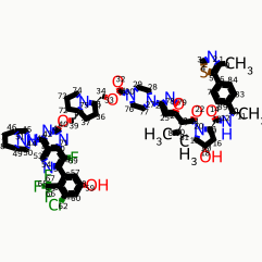 Cc1ncsc1-c1ccc([C@H](C)NC(=O)[C@@H]2C[C@@H](O)CN2C(=O)[C@@H](c2cc(N3CCN(C(=O)OC[C@@H]4CC[C@@]5(COc6nc(N7CC8CCC(C7)N8)c7cnc(-c8cc(O)cc(Cl)c8C(F)(F)F)c(F)c7n6)CCCN45)CC3)no2)C(C)C)cc1